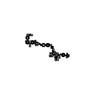 COC1CCN(c2nccc(Nc3cc4c(cn3)nc(COCCN3CCN(c5ccc(OC6CC(OCC(=O)NC(C(=O)N7C[C@H](O)C[C@H]7C(=O)NCc7ccc(-c8scnc8C)cc7)C(C)(C)C)C6)cc5)CC3)n4C(C)C)n2)CC1